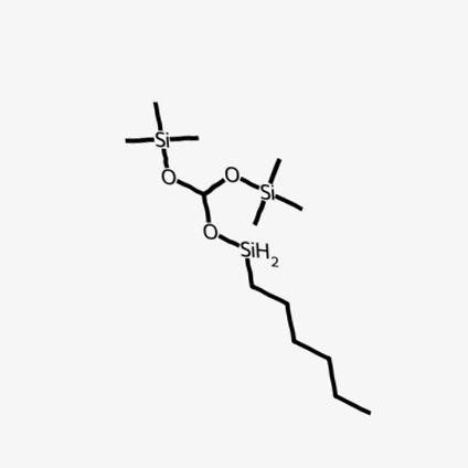 CCCCCC[SiH2]OC(O[Si](C)(C)C)O[Si](C)(C)C